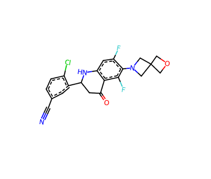 N#Cc1ccc(Cl)c(C2CC(=O)c3c(cc(F)c(N4CC5(COC5)C4)c3F)N2)c1